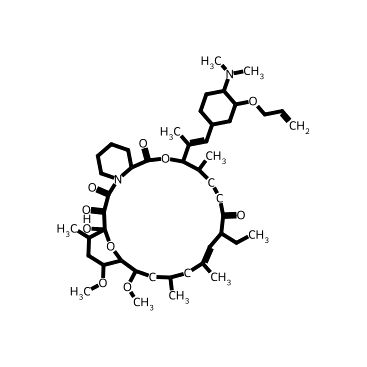 C=CCOC1CC(C=C(C)C2OC(=O)C3CCCCN3C(=O)C(=O)C3(O)OC(C(OC)CC(C)C/C(C)=C/C(CC)C(=O)CCC2C)C(OC)CC3C)CCC1N(C)C